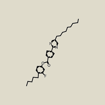 CCCCCCCCCc1cnc(-c2ccc(C(=O)Oc3ccc(CCCCC)c(F)c3)cc2)nc1